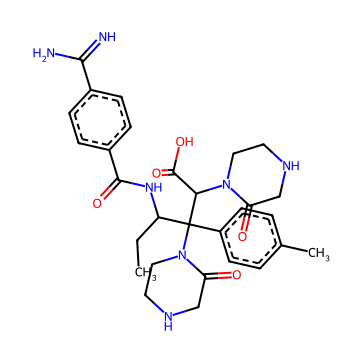 CCC(NC(=O)c1ccc(C(=N)N)cc1)C(c1ccc(C)cc1)(C(C(=O)O)N1CCNCC1=O)N1CCNCC1=O